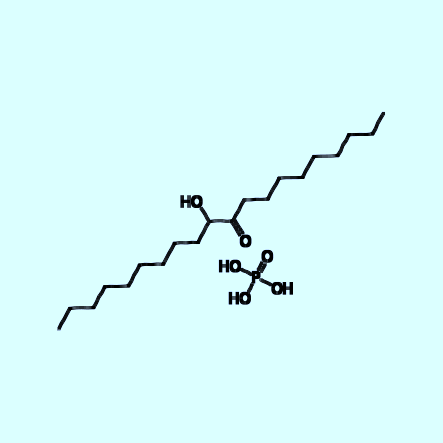 CCCCCCCCCC(=O)C(O)CCCCCCCCC.O=P(O)(O)O